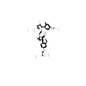 CNC(=O)Nc1ccc2c(c1)CC[C@@]21OC(=O)N(CC(=O)N2[C@H](C)CC[C@H]2c2ccc(OC)cc2C)C1=O